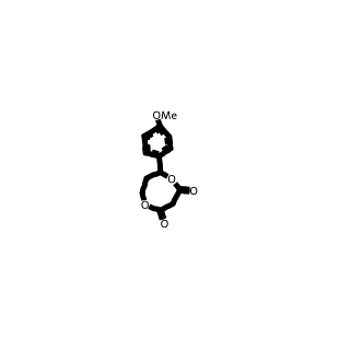 COc1ccc(C2CCOC(=O)CC(=O)O2)cc1